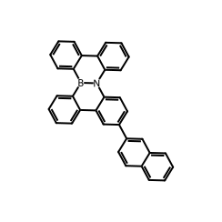 c1ccc2c(c1)B1c3ccccc3-c3cc(-c4ccc5ccccc5c4)ccc3N1c1ccccc1-2